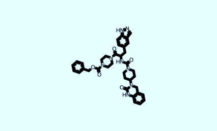 O=C(NC(Cc1ccc2[nH]ncc2c1)C(=O)N1CCN(C(=O)OCc2ccccc2)CC1)N1CCC(N2Cc3ccccc3NC2=O)CC1